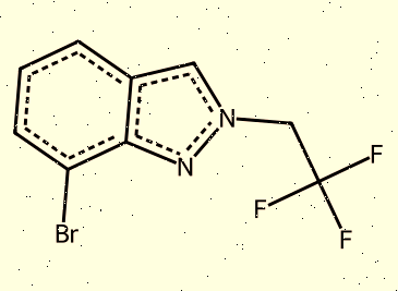 FC(F)(F)Cn1cc2cccc(Br)c2n1